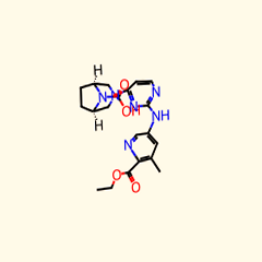 CCOC(=O)c1ncc(Nc2nccc(N3C[C@H]4CC[C@@H](C3)N4C(=O)O)n2)cc1C